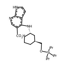 CC(C)[Si](OC[C@H]1CCC[C@H](Nc2c(C(=O)O)cnc3[nH]ccc23)C1)(C(C)C)C(C)C